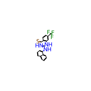 N=C(Nc1cc(C(F)(F)F)ccc1C=S)Nc1cccc2ccccc12